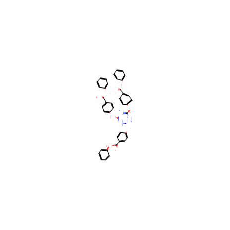 O=C(Oc1ccccc1)c1ccc(Oc2nc(Oc3ccc(C(=O)Oc4ccccc4)cc3)nc(Oc3ccc(C(=O)Oc4ccccc4)cc3)n2)cc1